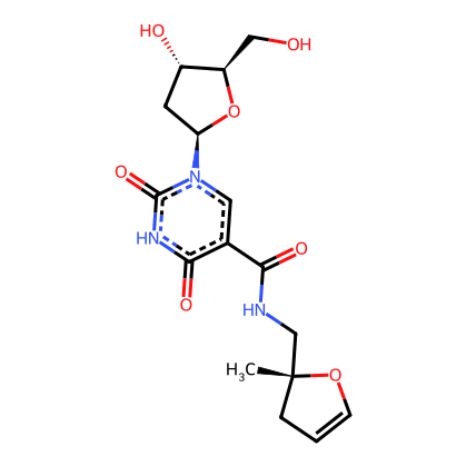 C[C@]1(CNC(=O)c2cn([C@H]3C[C@H](O)[C@@H](CO)O3)c(=O)[nH]c2=O)CC=CO1